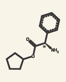 N[C@@H](C(=O)OC1CCCC1)c1ccccc1